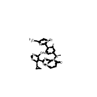 CCn1cc(C(F)(F)F)nc1-c1ccc([C@@H](C)n2c(=O)ccn3nc(-c4c(OC)ncnc4C4CC4)nc23)cc1F